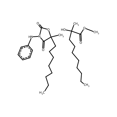 CCCCCCCCC(C)(O)C(=O)OC.CCCCCCCCC1(C)OC(=O)N(Nc2ccccc2)C1=O